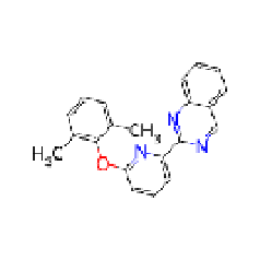 Cc1cccc(C)c1Oc1cccc(-c2ncc3ccccc3n2)n1